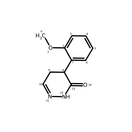 COc1ccccc1C1CC=NNC1=O